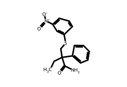 CCC(CSc1cccc([N+](=O)[O-])c1)(C(N)=O)c1ccccc1